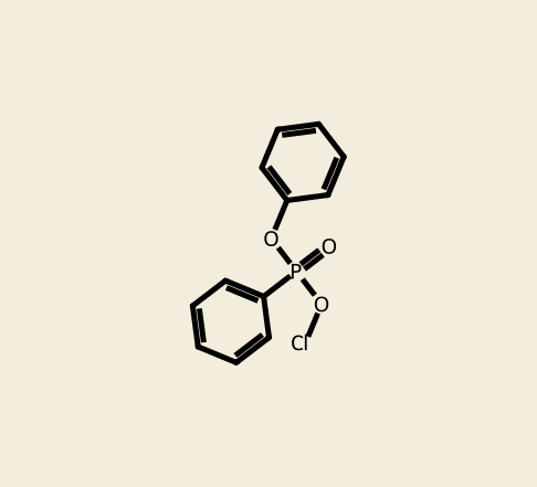 O=P(OCl)(Oc1ccccc1)c1ccccc1